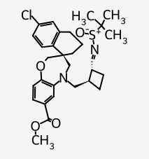 COC(=O)c1ccc2c(c1)N(C[C@@H]1CC[C@H]1/C=N/[S+]([O-])C(C)(C)C)C[C@@]1(CCCc3cc(Cl)ccc31)CO2